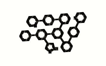 c1ccc(-c2ccc(-c3cc(-c4ccccc4-c4ccc(-c5ccccn5)cc4)cc(-c4ccccc4-c4ccc(-c5ccccn5)cc4)c3)c(-c3cn[nH]c3)c2)cc1